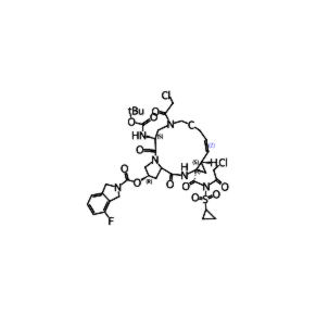 CC(C)(C)OC(=O)N[C@H]1CN(C(=O)CCl)CCC/C=C\[C@@H]2C[C@@]2(C(=O)N(C(=O)CCl)S(=O)(=O)C2CC2)NC(=O)C2C[C@@H](OC(=O)N3Cc4cccc(F)c4C3)CN2C1=O